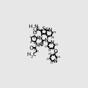 C=CC(=O)N[C@H]1CCC[C@H]1N1C(=O)N(c2ccc(Oc3cccnc3)cn2)c2ccnc3sc(C(N)=O)c1c23